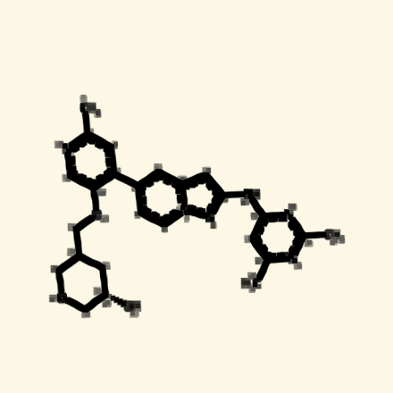 Cc1cc(-c2ccn3nc(Nc4cc(C)nc(C)n4)cc3c2)c(OCC2COC[C@@H](O)C2)cn1